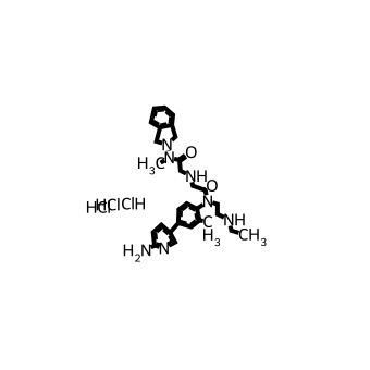 CCNCCN(C(=O)CNCC(=O)N(C)N1Cc2ccccc2C1)c1ccc(-c2ccc(N)nc2)cc1C.Cl.Cl.Cl